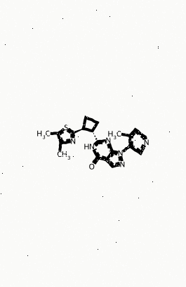 Cc1ccncc1-n1ncc2c(=O)[nH]c([C@H]3CC[C@@H]3c3nc(C)c(C)s3)nc21